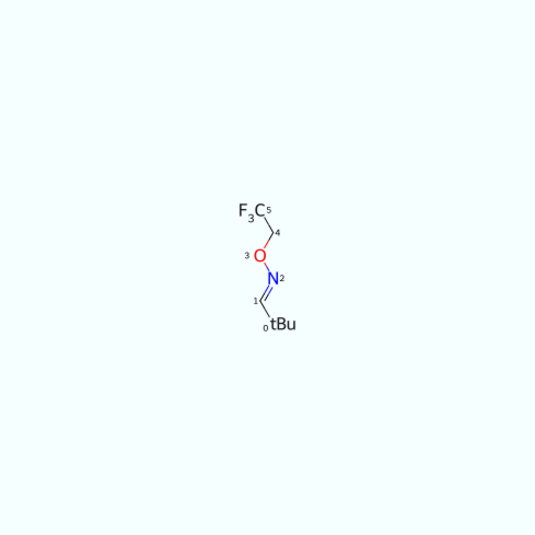 CC(C)(C)C=NOCC(F)(F)F